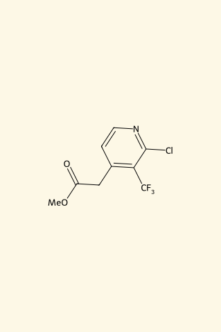 COC(=O)Cc1ccnc(Cl)c1C(F)(F)F